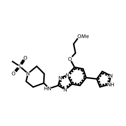 COCCOc1cc(-c2cn[nH]c2)cc2nc(NC3CCN(S(C)(=O)=O)CC3)nn12